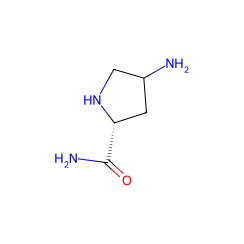 NC(=O)[C@H]1CC(N)CN1